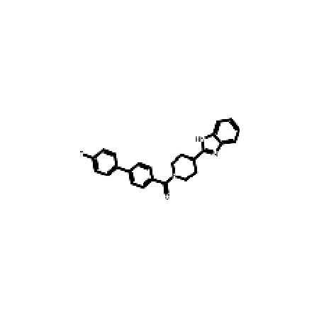 O=C(c1ccc(-c2ccc(F)cc2)cc1)N1CCC(c2nc3ccccc3[nH]2)CC1